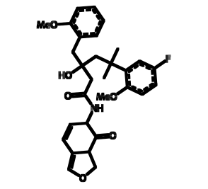 COc1ccccc1CC(O)(CC(=O)NC1C=CC2=COCC2C1=O)CC(C)(C)c1cc(F)ccc1OC